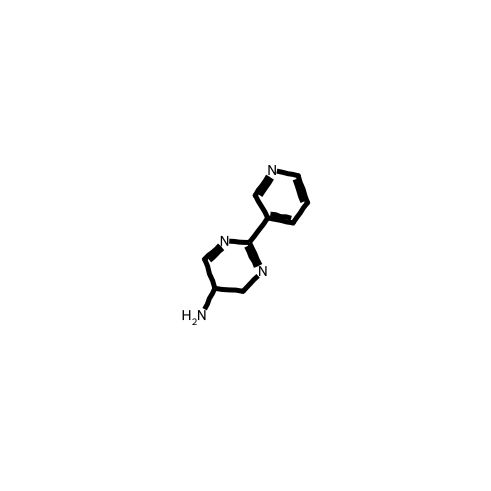 NC1C=NC(c2cccnc2)=NC1